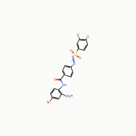 O=C(Nc1ccc(Br)cc1C(=O)O)c1ccc(/N=N/S(=O)(=O)c2ccc(Cl)c(Cl)c2)cc1